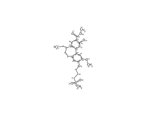 CCC1CCc2cc(OCCCS(C)(=O)=O)c(OC)cc2-c2cc(=O)c(C(=O)OC)cn21